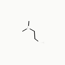 [CH2]N([CH2])CCO